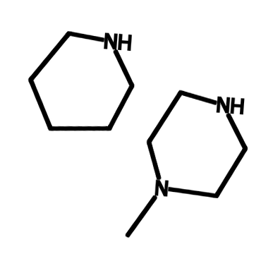 C1CCNCC1.CN1CCNCC1